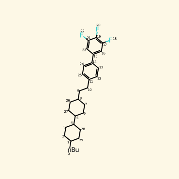 CCCCC1CCC(C2CCC(CCc3ccc(-c4cc(F)c(F)c(F)c4)cc3)CC2)CC1